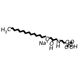 CCCCCCCCCCCCCCOCC(O)CNCCOP(=O)([O-])O.[Na+]